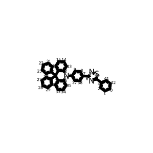 c1ccc(-c2nc(-c3ccc(N4c5ccccc5C(c5ccccc5)(c5ccccc5)c5ccccc54)cc3)ns2)cc1